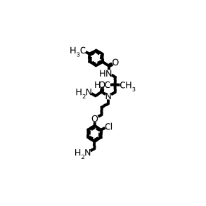 Cc1ccc(C(=O)NCC(C)(C)CN(CCCOc2ccc(CN)cc2Cl)C(=O)CN)cc1